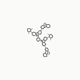 Cc1cccc(C)c1-c1ccc2c(c1)c1cc(-c3ccc4oc5ccccc5c4c3)ccc1n2-c1cccc(-n2c3ccc(-c4ccc5oc6ccccc6c5c4)cc3c3cc(-c4c(C)cccc4C)ccc32)c1